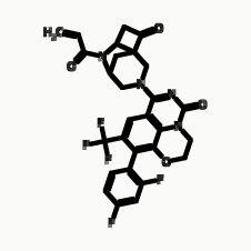 C=CC(=O)N1C2CN(c3nc(=O)n4c5c(c(-c6ccc(F)cc6F)c(C(F)(F)F)cc35)OCC4)CC3(C2)C(=O)CC13